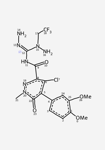 COc1ccc(-c2c(Cl)c(C(=O)N/C(=N/N)N(N)CC(F)(F)F)nn(C)c2=O)cc1OC